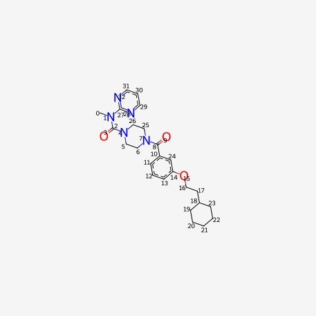 CN(C(=O)N1CCN(C(=O)c2cccc(OCCC3CCCCC3)c2)CC1)c1ncccn1